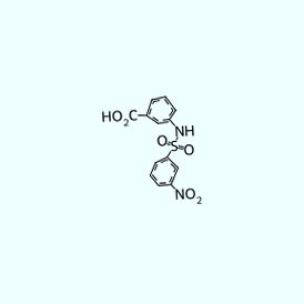 O=C(O)c1cccc(NS(=O)(=O)c2cccc([N+](=O)[O-])c2)c1